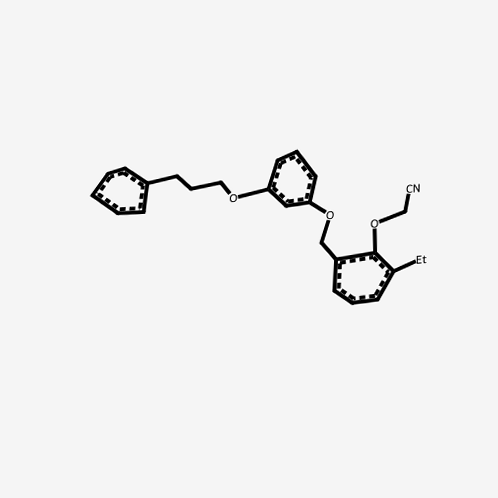 CCc1cccc(COc2cccc(OCCCc3ccccc3)c2)c1OCC#N